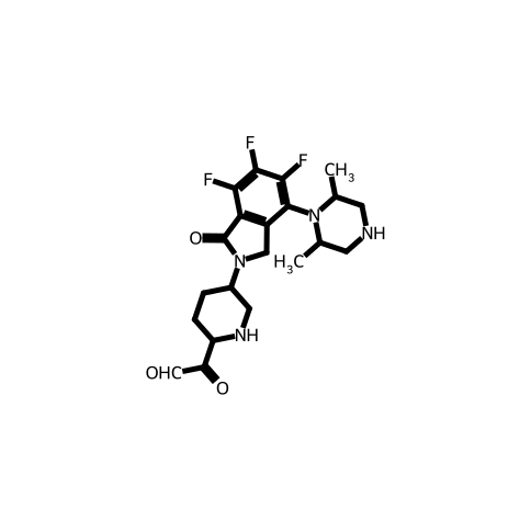 CC1CNCC(C)N1c1c(F)c(F)c(F)c2c1CN(C1CCC(C(=O)C=O)NC1)C2=O